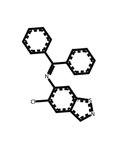 Clc1cc2cnsc2cc1N=C(c1ccccc1)c1ccccc1